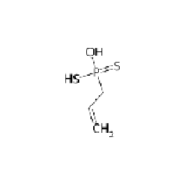 C=CCP(O)(=S)S